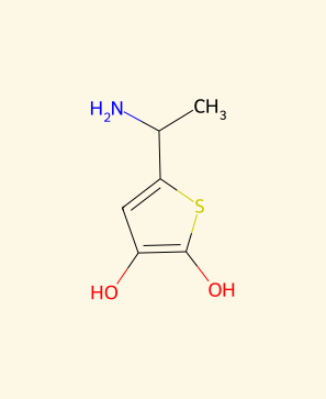 CC(N)c1cc(O)c(O)s1